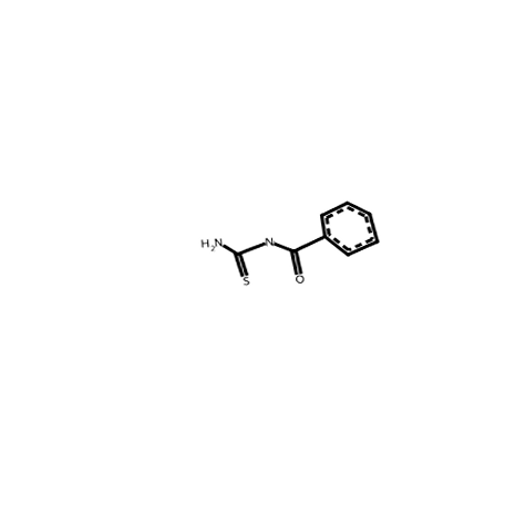 NC(=S)[N]C(=O)c1ccccc1